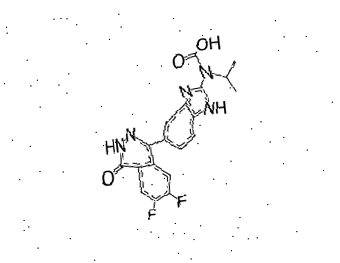 CC(C)N(C(=O)O)c1nc2cc(-c3n[nH]c(=O)c4cc(F)c(F)cc34)ccc2[nH]1